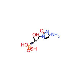 Nc1ccn(CC[C@H](/C=C/P(=O)(O)O)CO)c(=O)n1